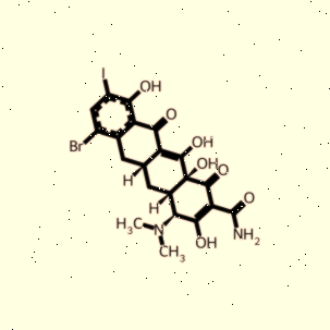 CN(C)[C@@H]1C(O)=C(C(N)=O)C(=O)[C@@]2(O)C(O)=C3C(=O)c4c(O)c(I)cc(Br)c4C[C@H]3C[C@@H]12